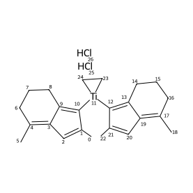 CC1=CC2=C(C)CCCC2=[C]1[Ti]1([C]2=C3CCCC(C)=C3C=C2C)[CH2][CH2]1.Cl.Cl